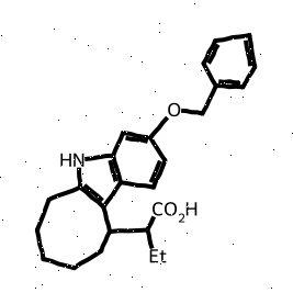 CCC(C(=O)O)C1CCCCCc2[nH]c3cc(OCc4ccccc4)ccc3c21